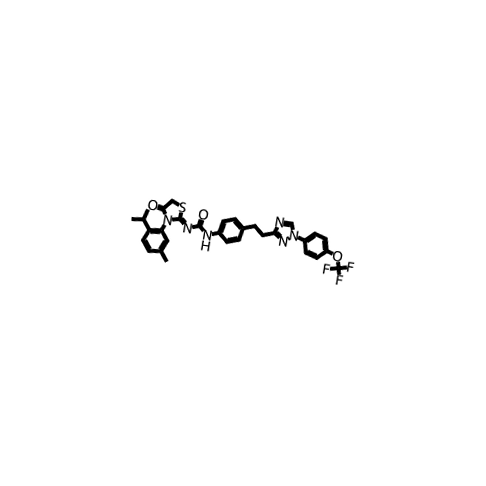 Cc1ccc(C(C)C)c(N2C(=O)CSC2=NC(=O)Nc2ccc(CCc3ncn(-c4ccc(OC(F)(F)F)cc4)n3)cc2)c1